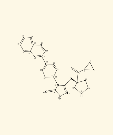 O=C(C1CC1)[C@]1(Cc2n[nH]c(=O)n2-c2ccc(-c3cnc4ccccc4c3)cc2)CCNC1